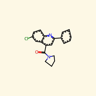 O=C(c1cc(-c2ccccc2)nc2ccc(Cl)cc12)N1CCCC1